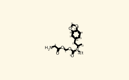 CCN(C(=O)OCOC(=O)CN)C(C)Cc1ccc2c(c1)OCO2